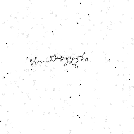 O=C1C[C@H](C(=O)NC23CC(n4cc(CCCCOC(F)(F)F)nn4)(C2)C3)Oc2cc(F)c(Cl)cc21